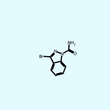 NC(=O)n1nc(Br)c2c[c]ccc21